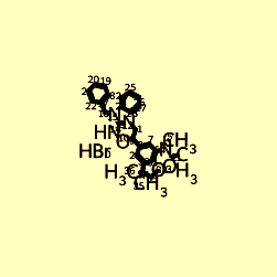 Br.CC(=O)N(C)c1cc(C(=O)Cn2c(=N)n(Cc3ccccc3)c3ccccc32)cc2c1OCC2(C)C